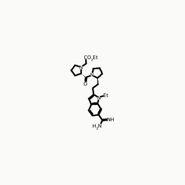 CCOC(=O)CN1CCC[C@H]1C(=O)N1CCC[C@H]1CCc1cc2ccc(C(=N)N)cc2n1CC